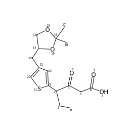 CCC(C(=O)CC(=O)O)c1cc(CC2COC(C)(C)O2)cs1